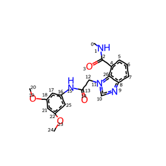 CNC(=O)c1cccc2ncn(CC(=O)Nc3cc(OC)cc(OC)c3)c12